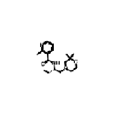 CC[C@@H](CN1CCOC(C)(C)C1)NC(=O)c1cccnc1C